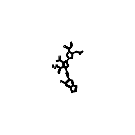 C=CC(=O)N1C[C@@H](n2nc(C#Cc3cc4ncsc4cc3F)c(C(N)=O)c2NC)C[C@@H]1COC